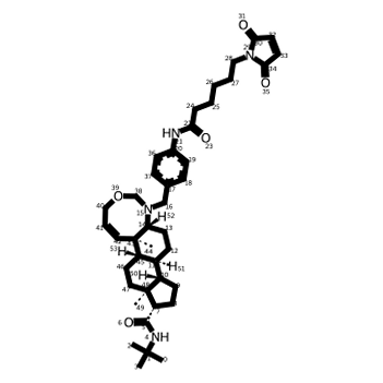 CC(C)(C)NC(=O)[C@H]1CC[C@H]2[C@@H]3CC[C@H]4N(Cc5ccc(NC(=O)CCCCCN6C(=O)C=CC6=O)cc5)COC/C=C\[C@]4(C)[C@H]3CC[C@]12C